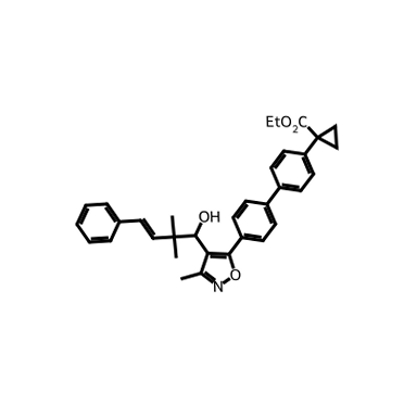 CCOC(=O)C1(c2ccc(-c3ccc(-c4onc(C)c4C(O)C(C)(C)C=Cc4ccccc4)cc3)cc2)CC1